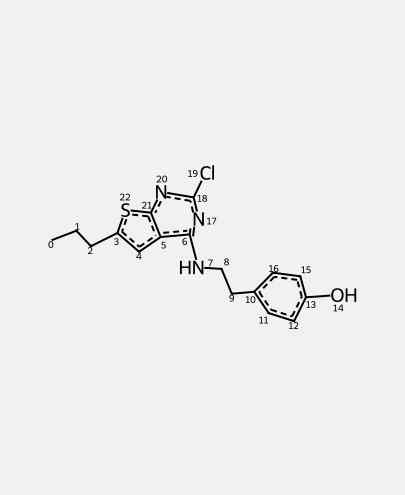 CCCc1cc2c(NCCc3ccc(O)cc3)nc(Cl)nc2s1